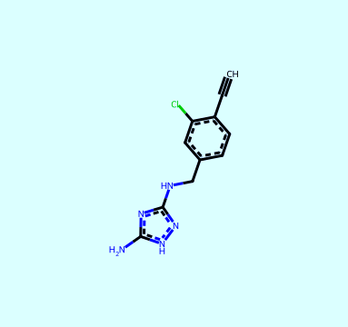 C#Cc1ccc(CNc2n[nH]c(N)n2)cc1Cl